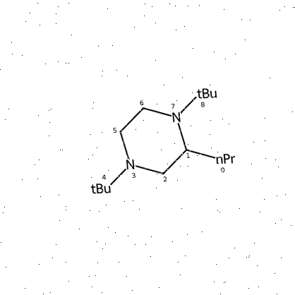 CCCC1CN(C(C)(C)C)CCN1C(C)(C)C